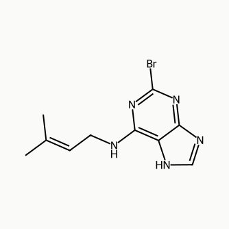 CC(C)=CCNc1nc(Br)nc2nc[nH]c12